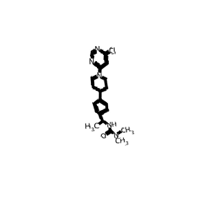 CC(NC(=O)N(C)C)c1ccc(C2CCN(c3cc(Cl)ncn3)CC2)cc1